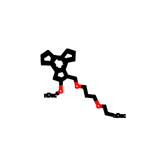 CCCCCCCCCCCCOCCCOCC1C(OCCCCCCCCCC)=Cc2c1c1c(c3c2=CC=C3)C=CC=1